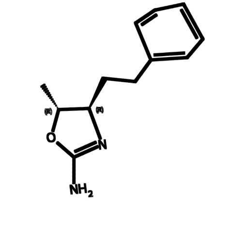 C[C@H]1OC(N)=N[C@@H]1CCc1ccccc1